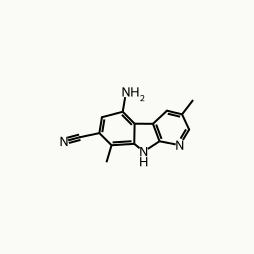 Cc1cnc2[nH]c3c(C)c(C#N)cc(N)c3c2c1